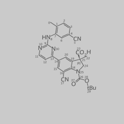 Cc1ccc(C#N)cc1Nc1nccc(-c2cc(C#N)c3c(c2)[C@@](C)(C(=O)O)CN3C(=O)OC(C)(C)C)n1